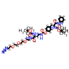 CC(C)(C)OC(=O)N[C@@H](CCNC(=O)Oc1ccc(C[C@H](NC(=O)OC(C)(C)C)C(=O)Nc2ccccc2)cc1)C(=O)NCCOCCOCCOCCN=[N+]=[N-]